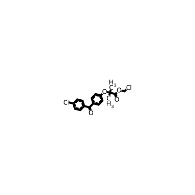 CC(C)(Oc1ccc(C(=O)c2ccc(Cl)cc2)cc1)C(=O)OCCl